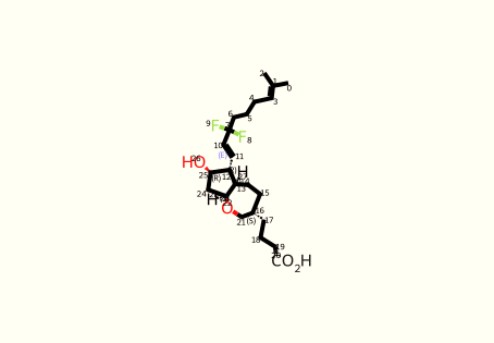 CC(C)=CCCCC(F)(F)/C=C/[C@@H]1[C@H]2CC[C@H](CCCC(=O)O)CO[C@H]2C[C@H]1O